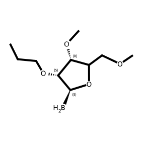 B[C@@H]1OC(COC)[C@@H](OC)[C@H]1OCCC